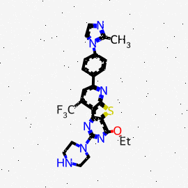 CCOc1nc(N2CCNCC2)nc2c1sc1nc(-c3ccc(-n4ccnc4C)cc3)cc(C(F)(F)F)c12